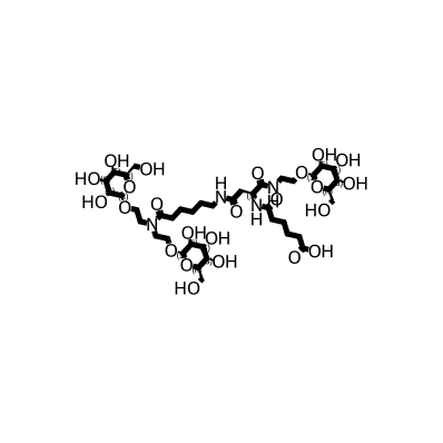 O=C(O)CCCCC(=O)N[C@@H](CC(=O)NCCCCCC(=O)N(CCO[C@H]1O[C@H](CO)[C@@H](O)[C@H](O)[C@@H]1O)CCO[C@H]1O[C@H](CO)[C@@H](O)[C@H](O)[C@@H]1O)C(=O)NCCO[C@H]1O[C@H](CO)[C@@H](O)[C@H](O)[C@@H]1O